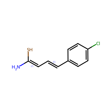 N/C(S)=C/C=C/c1ccc(Cl)cc1